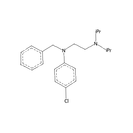 CC(C)N(CCN(Cc1ccccc1)c1ccc(Cl)cc1)C(C)C